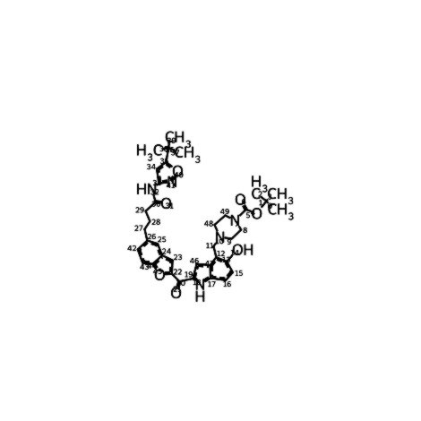 CC(C)(C)OC(=O)N1CCN(Cc2c(O)ccc3[nH]c(C(=O)c4cc5cc(CCCC(=O)Nc6cc(C(C)(C)C)on6)ccc5o4)cc23)CC1